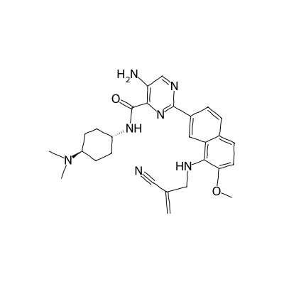 C=C(C#N)CNc1c(OC)ccc2ccc(-c3ncc(N)c(C(=O)N[C@H]4CC[C@H](N(C)C)CC4)n3)cc12